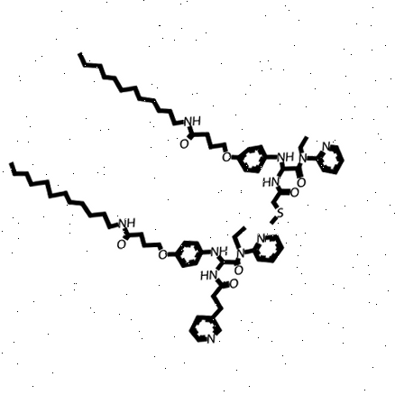 CCCCCCCCCCCCNC(=O)CCCOc1ccc(NC(NC(=O)CCc2cccnc2)C(=O)N(CC)c2ccccn2)cc1.CCCCCCCCCCCCNC(=O)CCCOc1ccc(NC(NC(=O)CSC)C(=O)N(CC)c2ccccn2)cc1